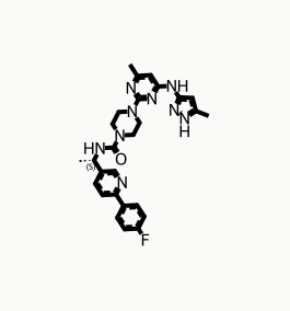 Cc1cc(Nc2cc(C)[nH]n2)nc(N2CCN(C(=O)N[C@@H](C)c3ccc(-c4ccc(F)cc4)nc3)CC2)n1